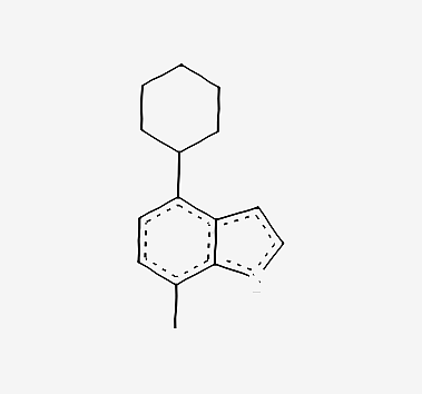 Cc1ccc(C2CCCCC2)c2cc[nH]c12